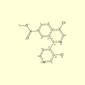 COC(=O)c1ccc2c(Cl)cnc(-c3ccncc3Cl)c2c1